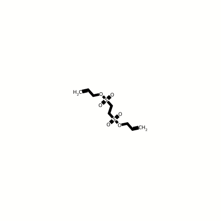 C=CCOS(=O)(=O)CCS(=O)(=O)OCC=C